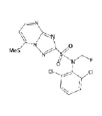 CSc1ccnc2nc(S(=O)(=O)N(CF)c3c(Cl)cccc3Cl)nn12